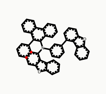 c1ccc(-c2c(N(c3cccc(-c4cccc5oc6ccccc6c45)c3)c3cccc4oc5ccccc5c34)c3ccccc3c3ccccc23)cc1